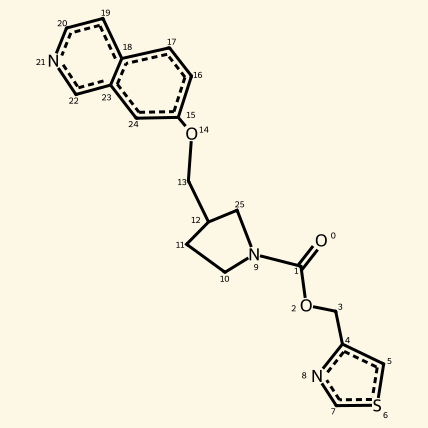 O=C(OCc1cscn1)N1CCC(COc2ccc3ccncc3c2)C1